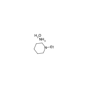 CCN1CCCCC1.N.O